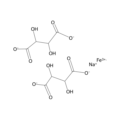 O=C([O-])C(O)C(O)C(=O)[O-].O=C([O-])C(O)C(O)C(=O)[O-].[Fe+3].[Na+]